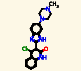 CN1CCN(c2ccc3nc(-c4c(Cl)c5ccccc5[nH]c4=O)[nH]c3c2)CC1